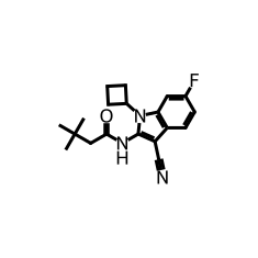 CC(C)(C)CC(=O)Nc1c(C#N)c2ccc(F)cc2n1C1CCC1